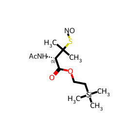 CC(=O)N[C@@H](C(=O)OCC[Si](C)(C)C)C(C)(C)SN=O